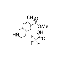 COC(=O)c1cc2c(cc1C)CNCC2.O=C(O)C(F)(F)F